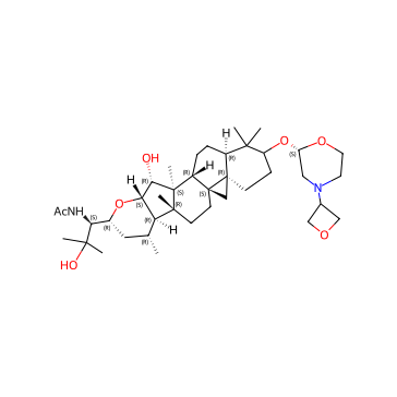 CC(=O)N[C@@H]([C@H]1C[C@@H](C)[C@H]2[C@H](O1)[C@H](O)[C@@]1(C)[C@@H]3CC[C@H]4C(C)(C)C(O[C@H]5CN(C6COC6)CCO5)CC[C@@]45C[C@@]35CC[C@]21C)C(C)(C)O